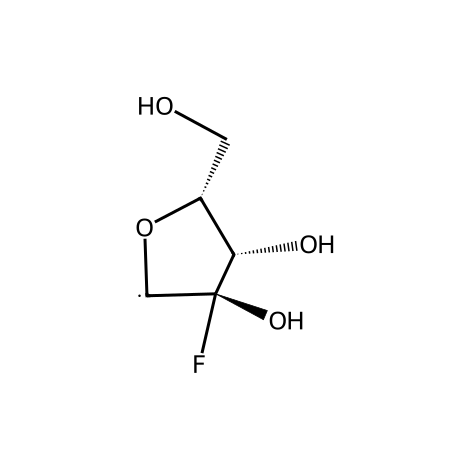 OC[C@H]1O[CH][C@@](O)(F)[C@H]1O